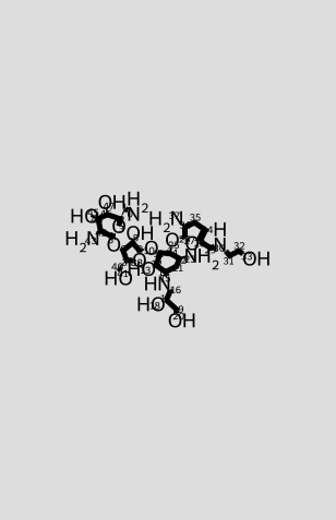 NC[C@@H]1O[C@H](O[C@H]2[C@@H](O)[C@H](O[C@@H]3[C@@H](O)[C@H](NCC(O)CO)C[C@H](N)[C@H]3O[C@H]3OC(CNCCO)=CC[C@H]3N)O[C@@H]2CO)[C@H](N)[C@@H](O)[C@@H]1O